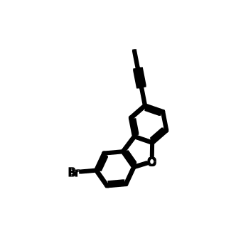 CC#Cc1ccc2oc3ccc(Br)cc3c2c1